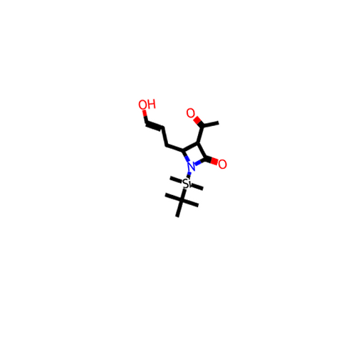 CC(=O)C1C(=O)N([Si](C)(C)C(C)(C)C)C1CC=CO